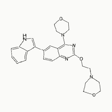 c1ccc2c(-c3ccc4nc(OCCN5CCOCC5)nc(N5CCOCC5)c4c3)c[nH]c2c1